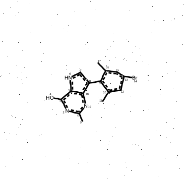 Cc1nc(O)c2[nH]cc(-c3c(C)cc(Br)cc3C)c2n1